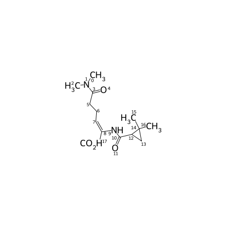 CN(C)C(=O)CC/C=C(\NC(=O)C1CC1(C)C)C(=O)O